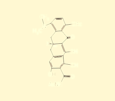 CC(=O)NC(=O)c1c(O)cc2c(c1O)C(O)=C1C(=O)c3c(OC(C)=O)ccc(N(C)C)c3C[C@H]1C2